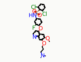 COc1cc2c(Oc3ccc(NS(=O)(=O)c4c(Cl)cccc4Cl)cc3F)ccnc2cc1OCCCN(C)C